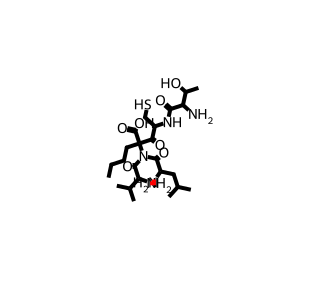 CCCCC(C(=O)O)(C(=O)C(CS)NC(=O)C(N)C(C)O)N(C(=O)C(N)CC(C)C)C(=O)C(N)C(C)C